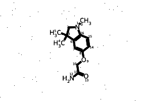 CN1CC(C)(C)c2cc(OCC(N)=O)ccc21